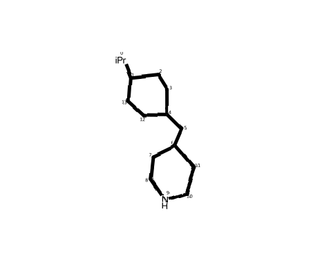 CC(C)C1CCC(CC2CCNCC2)CC1